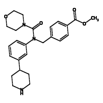 COC(=O)c1ccc(CN(C(=O)N2CCOCC2)c2cccc(C3CCNCC3)c2)cc1